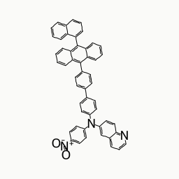 O=[N+]([O-])c1ccc(N(c2ccc(-c3ccc(-c4c5ccccc5c(-c5cccc6ccccc56)c5ccccc45)cc3)cc2)c2ccc3ncccc3c2)cc1